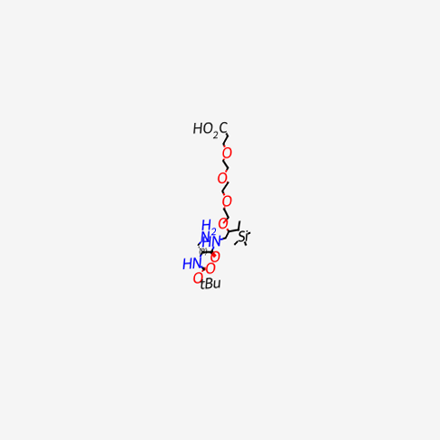 CC(C(CNC(=O)[C@@H](CN)NC(=O)OC(C)(C)C)OCCOCCOCCOCCC(=O)O)[Si](C)(C)C